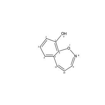 Oc1cccc2c1ON=CC=C2